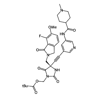 COc1ccc2c(c1F)C(=O)N(C[C@@]1(C#Cc3cncc(NC(=O)C4CCN(C)CC4)c3)NC(=O)N(COC(=O)C(C)(C)C)C1=O)C2